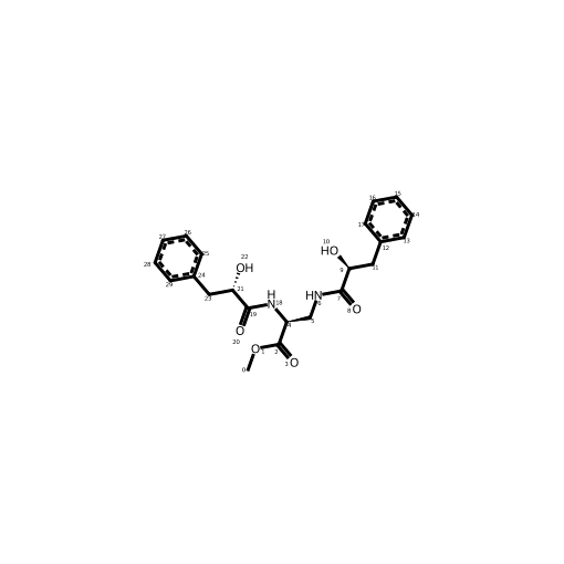 COC(=O)[C@H](CNC(=O)[C@@H](O)Cc1ccccc1)NC(=O)[C@@H](O)Cc1ccccc1